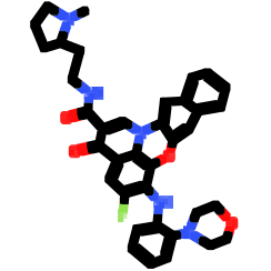 CN1CCCC1CCNC(=O)c1cn2c3c(c(Nc4ccccc4N4CCOCC4)c(F)cc3c1=O)Oc1cc3ccccc3cc1-2